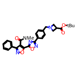 CNC(=O)c1c(-c2ccccc2)noc1-c1nc(-c2ccc(CN3CC(C(=O)OC(C)(C)C)C3)cc2)no1